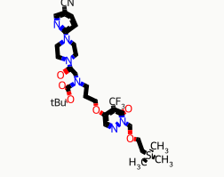 CC(C)(C)OC(=O)N(CCCOc1cnn(COCC[Si](C)(C)C)c(=O)c1C(F)(F)F)CC(=O)N1CCN(c2ccc(C#N)cn2)CC1